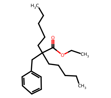 CCCCCC(CCCCC)(Cc1ccccc1)C(=O)OCC